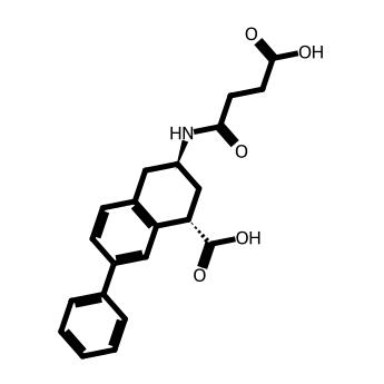 O=C(O)CCC(=O)N[C@@H]1Cc2ccc(-c3ccccc3)cc2[C@@H](C(=O)O)C1